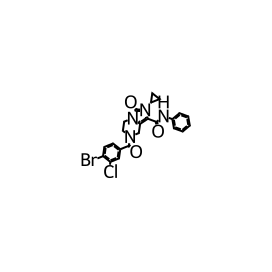 O=C(Nc1ccccc1)c1c2n(c(=O)n1C1CC1)CCN(C(=O)c1ccc(Br)c(Cl)c1)C2